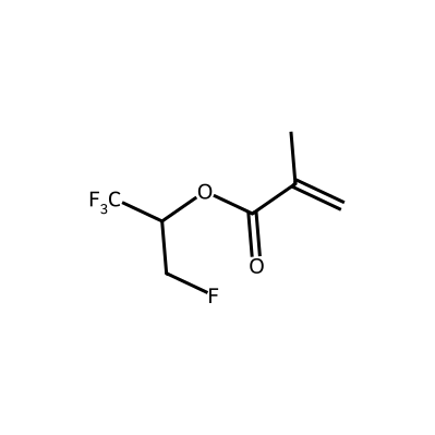 C=C(C)C(=O)OC(CF)C(F)(F)F